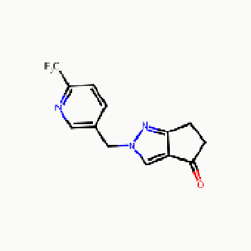 O=C1CCc2nn(Cc3ccc(C(F)(F)F)nc3)cc21